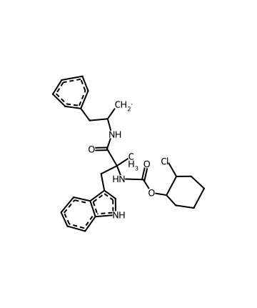 [CH2]C(Cc1ccccc1)NC(=O)C(C)(Cc1c[nH]c2ccccc12)NC(=O)OC1CCCCC1Cl